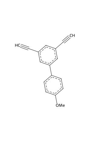 C#Cc1cc(C#C)cc(-c2ccc(OC)cc2)c1